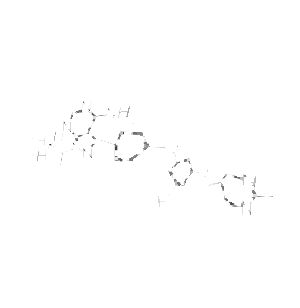 [2H]C([2H])([2H])C(C)n1nc(-c2ccc(Oc3cc(F)cc(OCc4cnc(C)nc4)c3)cc2)c2c(N)ncnc21